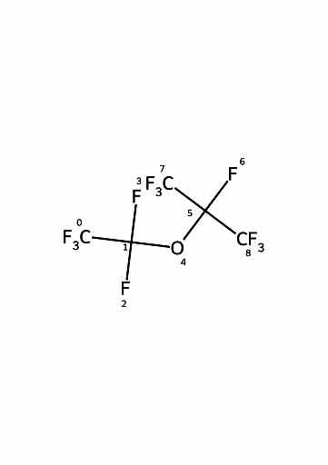 FC(F)(F)C(F)(F)OC(F)(C(F)(F)F)C(F)(F)F